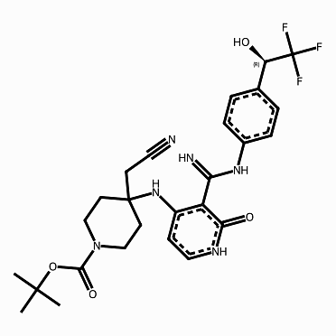 CC(C)(C)OC(=O)N1CCC(CC#N)(Nc2cc[nH]c(=O)c2C(=N)Nc2ccc([C@@H](O)C(F)(F)F)cc2)CC1